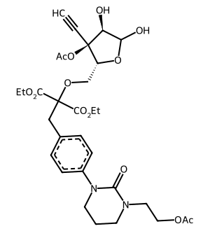 C#C[C@@]1(OC(C)=O)[C@@H](COC(Cc2ccc(N3CCCN(CCOC(C)=O)C3=O)cc2)(C(=O)OCC)C(=O)OCC)OC(O)[C@@H]1O